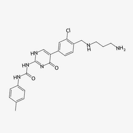 Cc1ccc(NC(=O)Nc2nc(=O)c(-c3ccc(CNCCCN)c(Cl)c3)c[nH]2)cc1